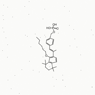 CCCCCCOc1c(C(C)=Cc2ccc(COP(=O)(O)O)cc2)ccc2c1C(C)(C)CCC2(C)C